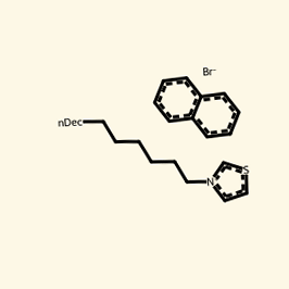 CCCCCCCCCCCCCCCC[n+]1ccsc1.[Br-].c1ccc2ccccc2c1